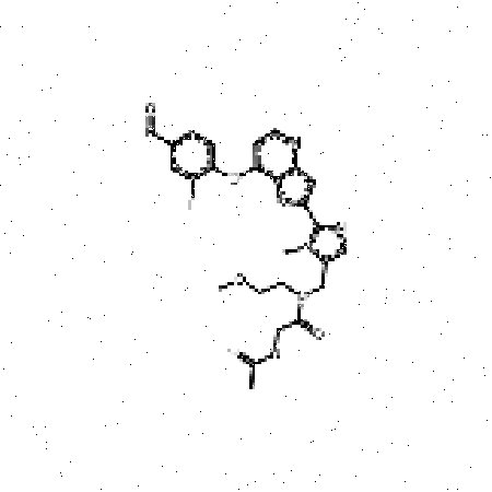 COCCN(Cc1cnc(-c2cc3nccc(Oc4ccc(N=O)cc4F)c3s2)n1C)C(=O)COC(C)=O